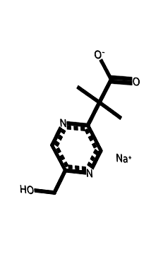 CC(C)(C(=O)[O-])c1cnc(CO)cn1.[Na+]